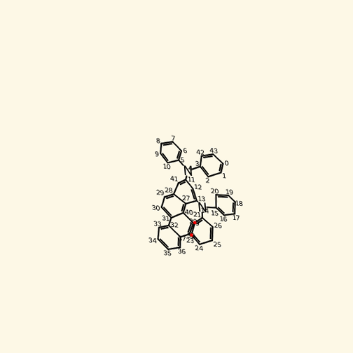 c1ccc(N(c2ccccc2)c2cc(N(c3ccccc3)c3ccccc3)c3c(ccc4c5ccccc5ccc43)c2)cc1